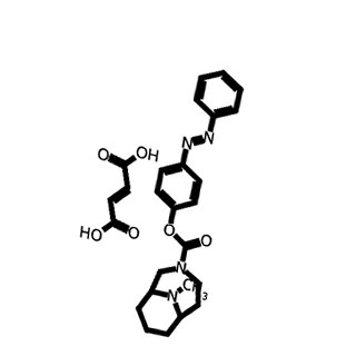 CN1C2CCCC1CN(C(=O)Oc1ccc(N=Nc3ccccc3)cc1)CC2.O=C(O)/C=C/C(=O)O